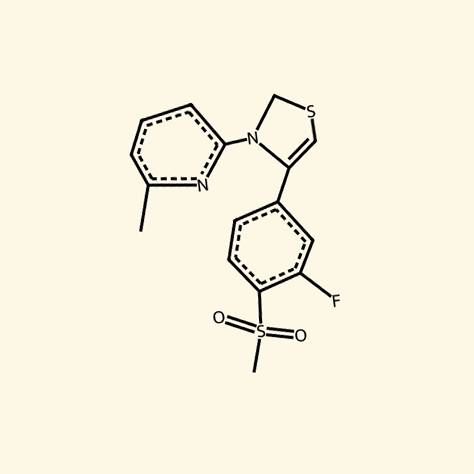 Cc1cccc(N2CSC=C2c2ccc(S(C)(=O)=O)c(F)c2)n1